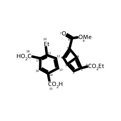 CCOC(=O)c1cc2cc(C(=O)OC)c1-2.CCc1ccc(C(=O)O)cc1C(=O)O